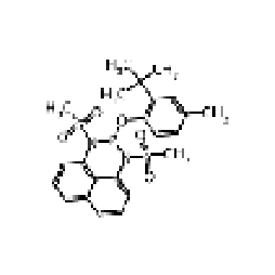 Cc1ccc(OP2N(S(C)(=O)=O)c3cccc4cccc(c34)N2S(C)(=O)=O)c(C(C)(C)C)c1